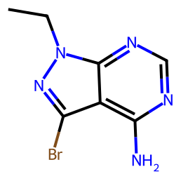 CCn1nc(Br)c2c(N)ncnc21